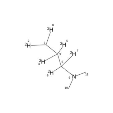 [2H]C([2H])C([2H])([2H])C([2H])([2H])N(C)C